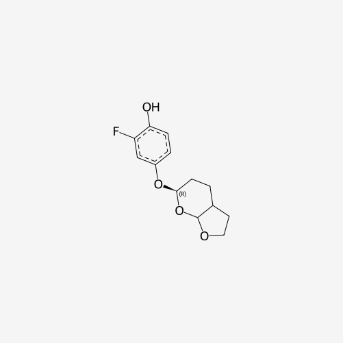 Oc1ccc(O[C@H]2CCC3CCOC3O2)cc1F